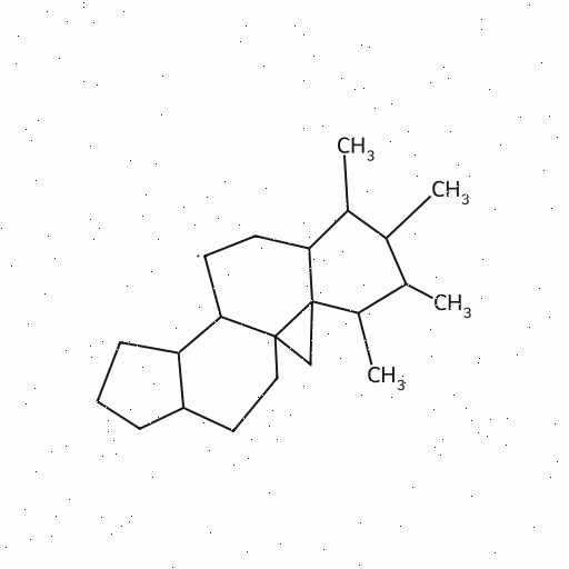 CC1C(C)C(C)C23CC24CCC2CCCC2C4[CH]CC3C1C